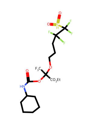 CCOC(=O)C(OCCCC(F)(F)C(F)(F)[SH](=O)=O)(OC(=O)NC1CCCCC1)C(F)(F)F